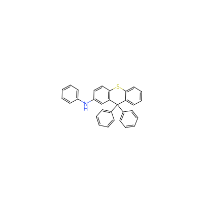 c1ccc(Nc2ccc3c(c2)C(c2ccccc2)(c2ccccc2)c2ccccc2S3)cc1